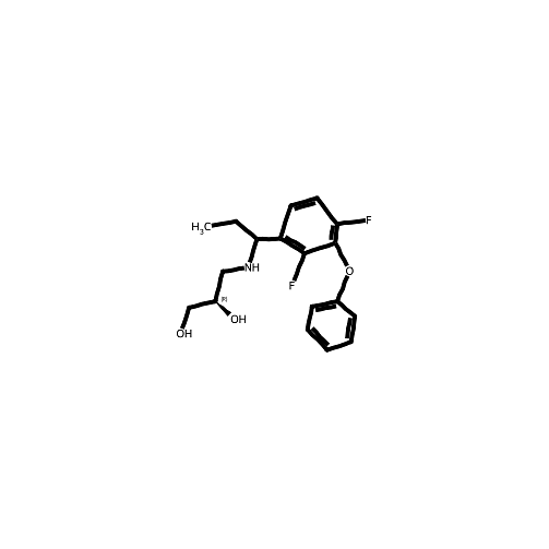 CCC(NC[C@@H](O)CO)c1ccc(F)c(Oc2ccccc2)c1F